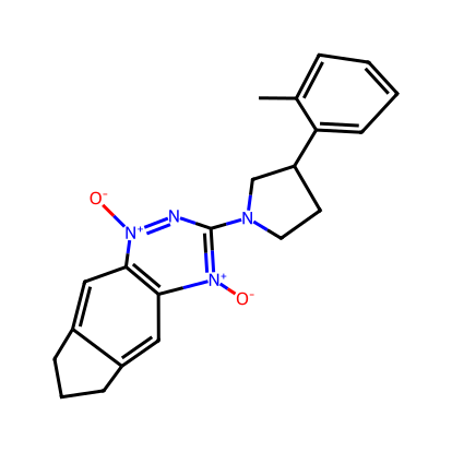 Cc1ccccc1C1CCN(c2n[n+]([O-])c3cc4c(cc3[n+]2[O-])CCC4)C1